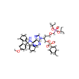 COc1ccc(C(Nc2ncnc3c2ncn3C(CCOCP(=O)(OC(C)C)OC(C)C)COS(=O)(=O)c2ccc(C)cc2)(c2ccccc2)c2ccccc2)cc1